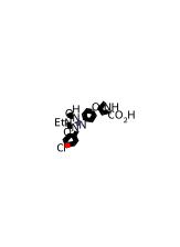 CCn1c(=O)[nH]/c(=N\c2ccc(O[C@H]3CN[C@H](C(=O)O)C3)cc2)n(Cc2ccc(Cl)cc2)c1=O